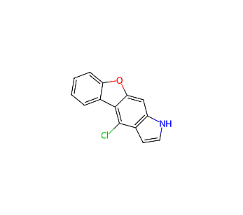 Clc1c2cc[nH]c2cc2oc3ccccc3c12